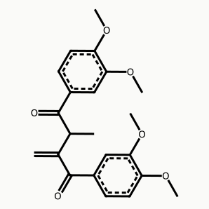 C=C(C(=O)c1ccc(OC)c(OC)c1)C(C)C(=O)c1ccc(OC)c(OC)c1